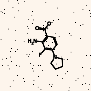 Nc1c([N+](=O)[O-])ccc(N2CCCC2)c1F